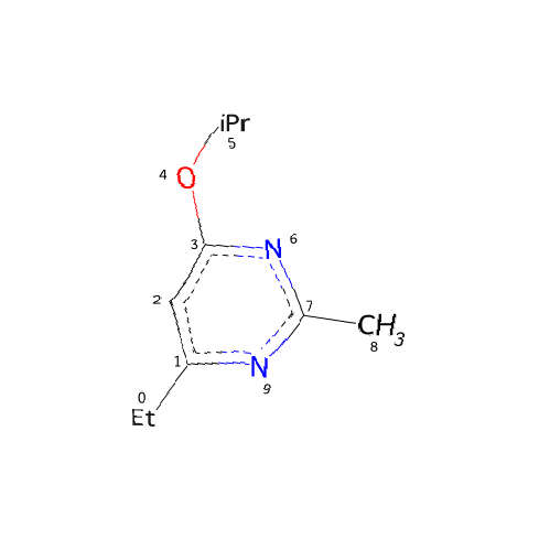 CCc1cc(OC(C)C)nc(C)n1